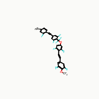 CCCCc1ccc(C#Cc2cc(F)c(C(F)(F)Oc3cc(F)c(C#Cc4cc(F)c(OC(F)(F)F)c(F)c4)c(F)c3)c(F)c2)c(F)c1